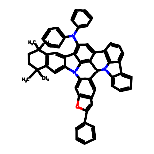 CC1(C)CCC(C)(C)c2cc3c(cc21)c1c(N(c2ccccc2)c2ccccc2)cc2c4c1n3-c1cc3oc(-c5ccccc5)cc3cc1B4n1c3ccccc3c3cccc-2c31